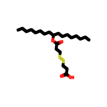 CCCCCCCCC(CCCCCCCC)OC(=O)CCSSCCC(=O)O